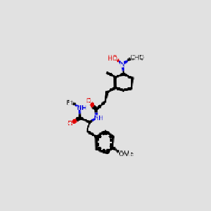 CCNC(=O)[C@H](Cc1ccc(OC)cc1)NC(=O)CCC1CCCC(N(O)C=O)C1C